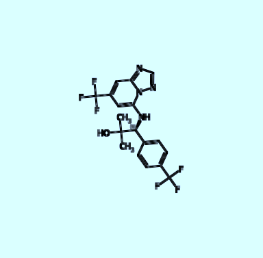 CC(C)(O)[C@@H](Nc1cc(C(F)(F)F)cc2ncnn12)c1ccc(C(F)(F)F)cc1